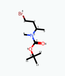 CC(CCBr)N(C)C(=O)OC(C)(C)C